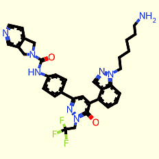 NCCCCCCn1ncc2c(-c3cc(-c4ccc(NC(=O)N5Cc6ccncc6C5)cc4)nn(CC(F)(F)F)c3=O)cccc21